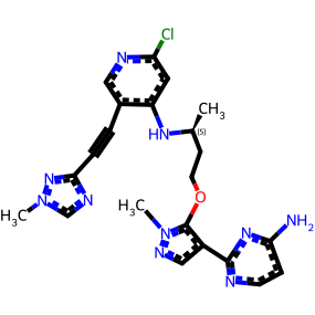 C[C@@H](CCOc1c(-c2nccc(N)n2)cnn1C)Nc1cc(Cl)ncc1C#Cc1ncn(C)n1